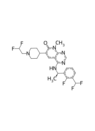 C[C@@H](Nc1ncnc2c1cc(C1CCN(CC(F)F)CC1)c(=O)n2C)c1cccc(C(F)F)c1F